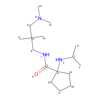 CC(C)NC1(C(=O)NCC(C)(C)CN(C)C)CCCC1